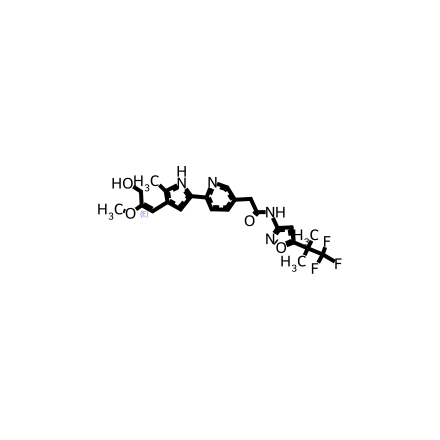 CO/C(=C/c1cc(-c2ccc(CC(=O)Nc3cc(C(C)(C)C(F)(F)F)on3)cn2)[nH]c1C)CO